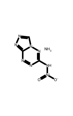 N.O=[N+]([O-])Nc1nnc2nncn2n1